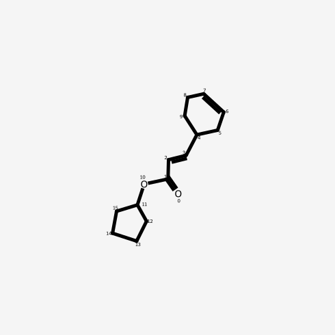 O=C(C=CC1CC=CCC1)OC1CCCC1